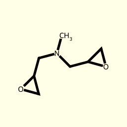 CN(CC1CO1)CC1CO1